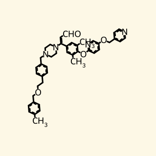 Cc1ccc(COCCc2ccc(CN3CCN(/C(=C/C=O)c4cc(C)c(Oc5ccc(OCc6ccncc6)cn5)c(C)c4)CC3)cc2)cc1